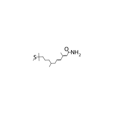 CSC(C)(C)CCCC(C)C/C=C/C(C)=C/C(N)=O